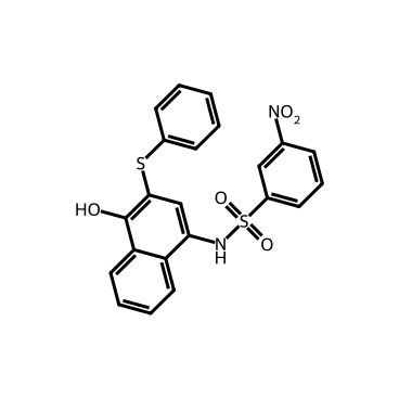 O=[N+]([O-])c1cccc(S(=O)(=O)Nc2cc(Sc3ccccc3)c(O)c3ccccc23)c1